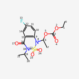 CCOC(=O)OC(C)N1c2ccc(F)cc2C(=O)N(C(C)C)S1(=O)=O